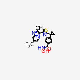 Cc1nc2cc(C(F)(F)F)ccn2c1-c1csc(C2(c3ccc(C(=O)NO)cc3)CC2)n1